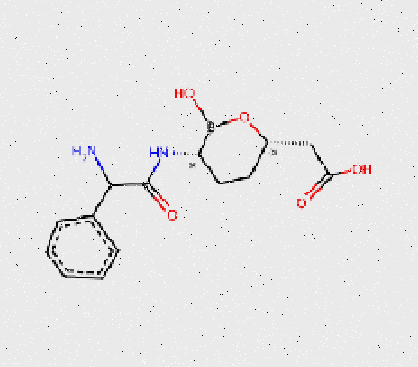 NC(C(=O)N[C@H]1CC[C@@H](CC(=O)O)OB1O)c1ccccc1